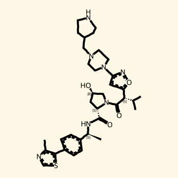 Cc1ncsc1-c1ccc([C@H](C)NC(=O)[C@@H]2C[C@@H](O)CN2C(=O)[C@H](c2cc(N3CCN(CC4CCNCC4)CC3)no2)C(C)C)cc1